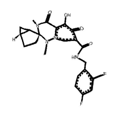 CN1C(=O)c2c(O)c(=O)c(C(=O)NCc3ccc(F)cc3F)cn2N(C)[C@@]12CC[C@@H]1CC12